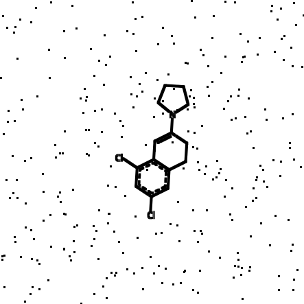 Clc1cc(Cl)c2c(c1)CCC(N1CCCC1)=C2